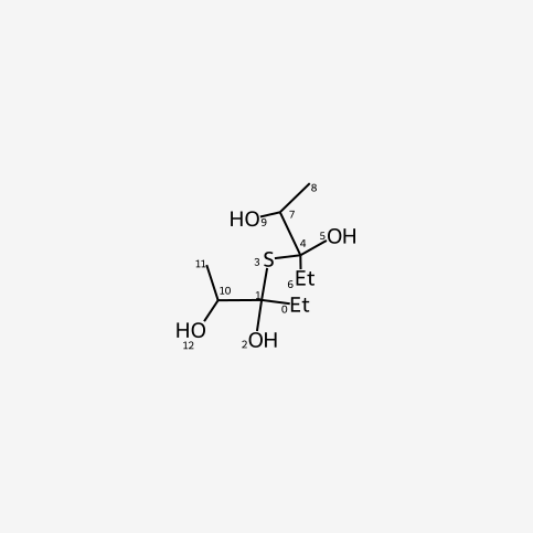 CCC(O)(SC(O)(CC)C(C)O)C(C)O